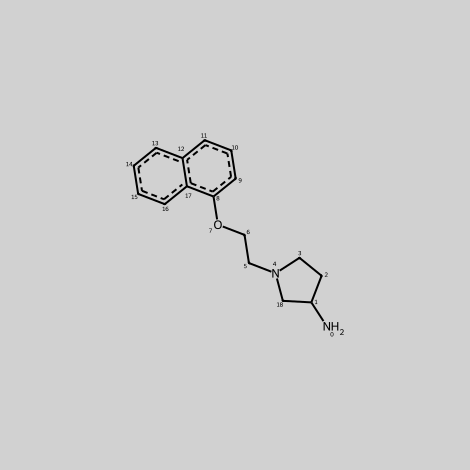 NC1CCN(CCOc2cccc3ccccc23)C1